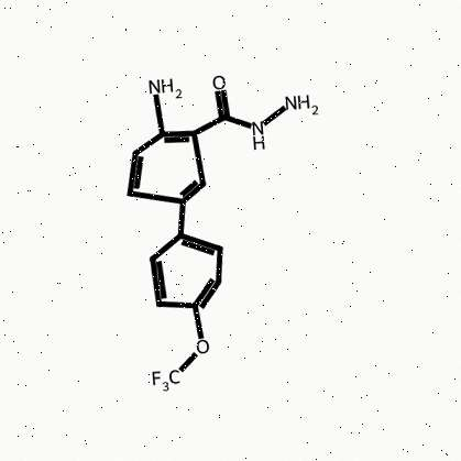 NNC(=O)c1cc(-c2ccc(OC(F)(F)F)cc2)ccc1N